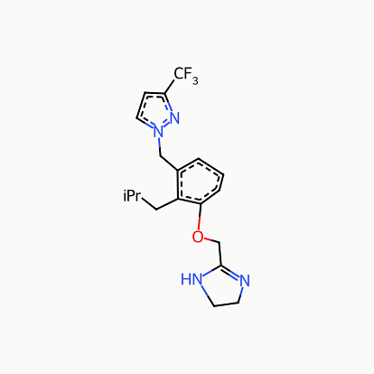 CC(C)Cc1c(Cn2ccc(C(F)(F)F)n2)cccc1OCC1=NCCN1